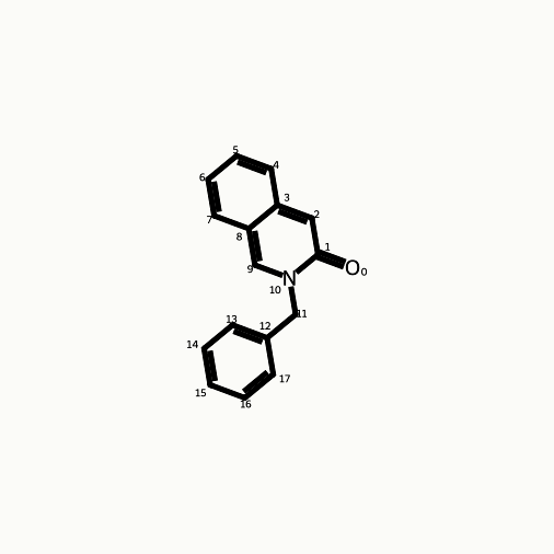 O=c1cc2ccccc2cn1Cc1ccccc1